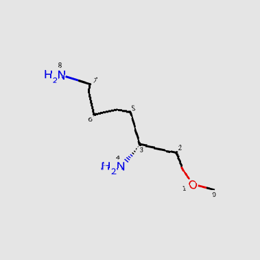 COC[C@H](N)CCCN